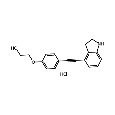 Cl.OCCOc1ccc(C#Cc2cccc3c2CCN3)cc1